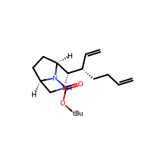 C=CCC[C@@H](C=C)[C@@H]1NC[C@H]2CC[C@@H]1N2C(=O)OC(C)(C)C